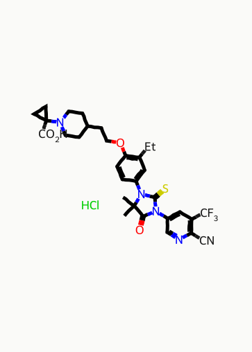 CCc1cc(N2C(=S)N(c3cnc(C#N)c(C(F)(F)F)c3)C(=O)C2(C)C)ccc1OCCC1CCN(C2(C(=O)O)CC2)CC1.Cl